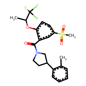 Cc1ccccc1C1CCN(C(=O)c2cc(S(C)(=O)=O)ccc2OC(C)C(F)(F)F)C1